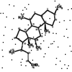 CC1CC[C@@]2(C)C(C1)CC(C)C1C2CC(C)[C@]2(C)C(C(C)CCC=O)CCC12